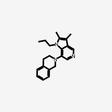 CCCn1c(C)c(C)c2cncc(N3CCc4ccccc4C3)c21